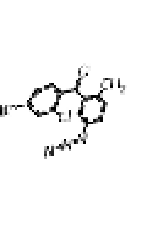 Cc1ccc(N=[N+]=[N-])cc1C(=O)c1ccc(Br)cc1Cl